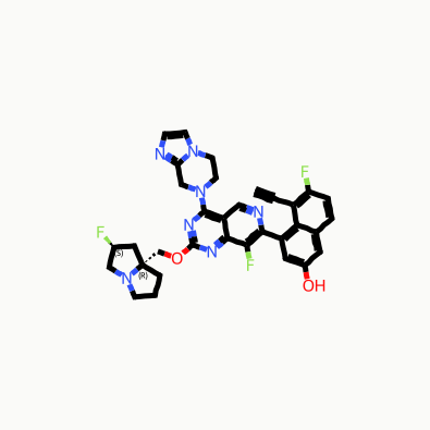 C#Cc1c(F)ccc2cc(O)cc(-c3ncc4c(N5CCn6ccnc6C5)nc(OC[C@]56CCCN5C[C@@H](F)C6)nc4c3F)c12